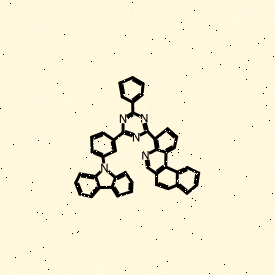 c1ccc(-c2nc(-c3cccc(-n4c5ccccc5c5ccccc54)c3)nc(-c3cccc4c3ncc3ccc5ccccc5c34)n2)cc1